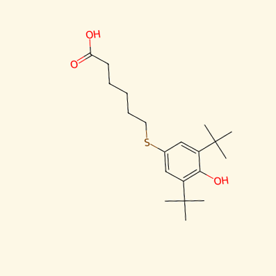 CC(C)(C)c1cc(SCCCCCC(=O)O)cc(C(C)(C)C)c1O